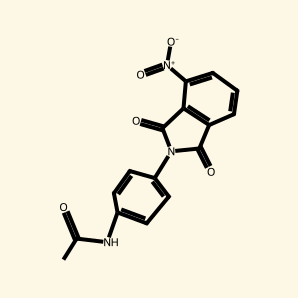 CC(=O)Nc1ccc(N2C(=O)c3cccc([N+](=O)[O-])c3C2=O)cc1